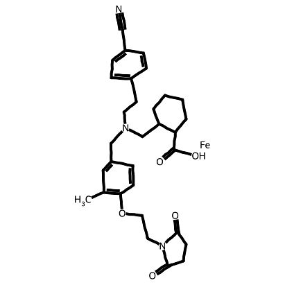 Cc1cc(CN(CCc2ccc(C#N)cc2)CC2CCCCC2C(=O)O)ccc1OCCN1C(=O)CCC1=O.[Fe]